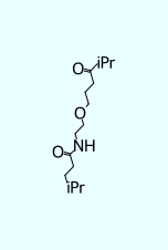 CC(C)CCC(=O)NCCOCCCC(=O)C(C)C